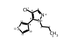 CCCn1ncc(Cl)c1-c1ccsc1